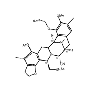 COCOc1c(OC)c(C)cc2c1[C@@H]1C3Cc4c(OC(C)=O)c(C)c5c(c4[C@H](CNC(C)=O)N3[C@@H](C#N)[C@@H](C2)N1C)OCO5